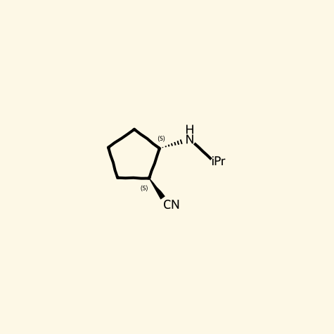 CC(C)N[C@H]1CCC[C@@H]1C#N